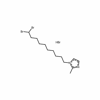 Br.Cc1nccn1CCCCCCCCCC(Br)Br